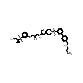 NCCNCc1ccc(-c2cccc(S(=O)(=O)N3CCC4(CC3)CC(NCC(O)COc3cccc(S(=O)(=O)C5(CO)CC5)c3)CO4)c2)cc1